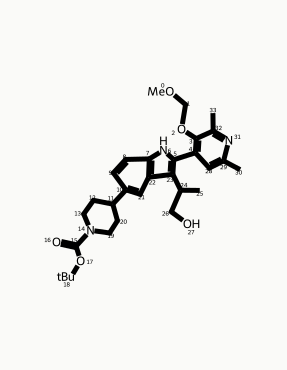 COCOc1c(-c2[nH]c3ccc(C4CCN(C(=O)OC(C)(C)C)CC4)cc3c2C(C)CO)cc(C)nc1C